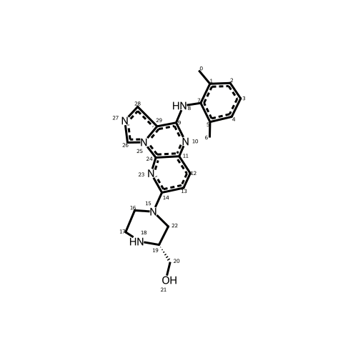 Cc1cccc(C)c1Nc1nc2ccc(N3CCN[C@@H](CO)C3)nc2n2cncc12